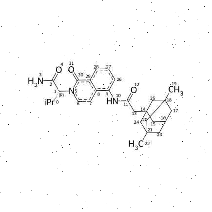 CC(C)[C@H](C(N)=O)n1ccc2c(NC(=O)CC34CC5CC(C)(CC(C)(C5)C3)C4)cccc2c1=O